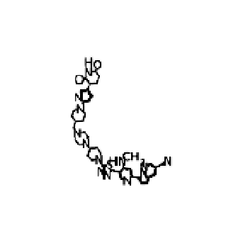 CNc1cc(-c2ccc3cc(C#N)cnn23)ncc1-c1nnc(N2CCC(N3CCN(CC4CCN(c5ccc([C@@H]6CCC(=O)NC6=O)cn5)CC4)CC3)CC2)s1